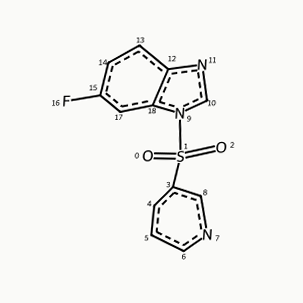 O=S(=O)(c1cccnc1)n1cnc2ccc(F)cc21